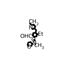 C=Cc1ccc(Cc2cc(C=O)c(OCN(C)C3CCCOC3)cc2CC)cn1